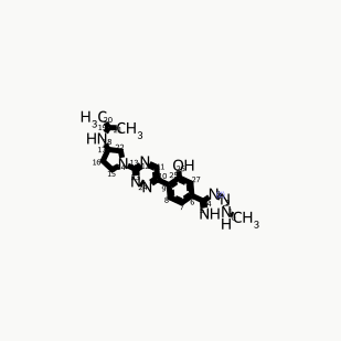 CN/N=N\C(=N)c1ccc(-c2cnc(N3CCC(NC(C)C)C3)nn2)c(O)c1